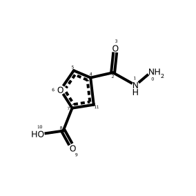 NNC(=O)c1coc(C(=O)O)c1